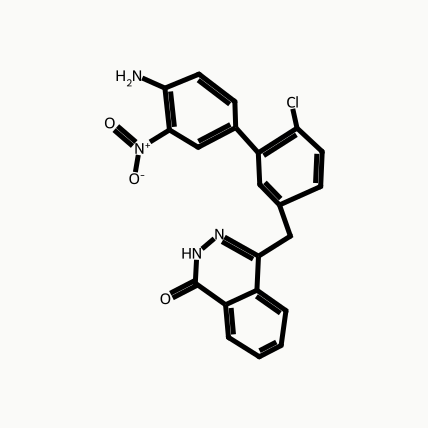 Nc1ccc(-c2cc(Cc3n[nH]c(=O)c4ccccc34)ccc2Cl)cc1[N+](=O)[O-]